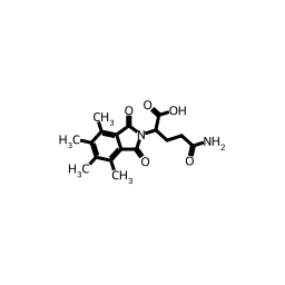 Cc1c(C)c(C)c2c(c1C)C(=O)N(C(CCC(N)=O)C(=O)O)C2=O